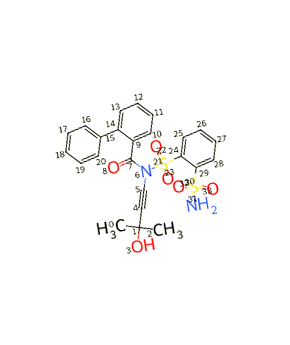 CC(C)(O)C#CN(C(=O)c1ccccc1-c1ccccc1)S(=O)(=O)c1ccccc1S(N)(=O)=O